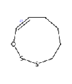 C1=C\OSSCCCC/1